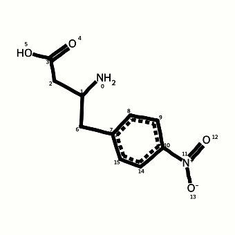 NC(CC(=O)O)Cc1ccc([N+](=O)[O-])cc1